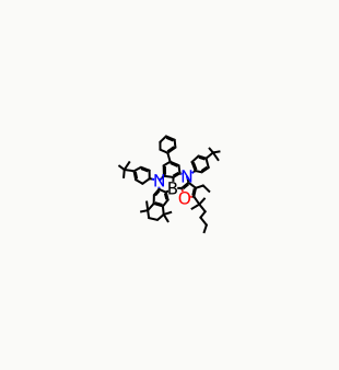 CCCCC(C)(C)c1oc2c(c1CC)N(c1ccc(C(C)(C)C)cc1)c1cc(C3=CC=CCC3)cc3c1B2c1cc2c(cc1N3C1C=CC(C(C)(C)C)=CC1)C(C)(C)CCC2(C)C